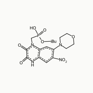 CCC(C)OP(=O)(O)Cn1c(=O)c(=O)[nH]c2cc([N+](=O)[O-])c(N3CCOCC3)cc21